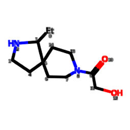 CCC1NCCC12CCN(C(=O)CO)CC2